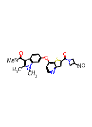 CNC(=O)c1c(C)n(C)c2cc(Oc3ccnc4cc(C(=O)N5CC(N=O)C5)sc34)ccc12